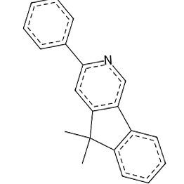 CC1(C)c2ccccc2-c2cnc(-c3ccccc3)cc21